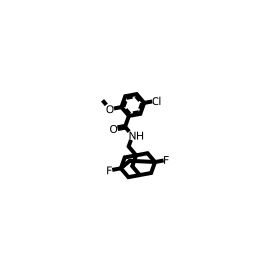 COc1ccc(Cl)cc1C(=O)NCC12CC3CC(F)(CC(F)(C3)C1)C2